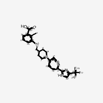 Cc1c(OCC2CCN(c3ccc(-c4nc(C(F)(F)F)c[nH]4)nc3)CC2)cccc1C(=O)O